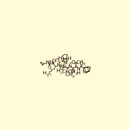 CCCC(NC(=O)[C@@H]1[C@H]2CCC[C@H]2CN1C(=O)[C@@H](N1CO[C@H](C)[C@H](NC(=O)c2cnccn2)C1=O)C(C)(C)C)C(=O)C(=O)NC1CC1